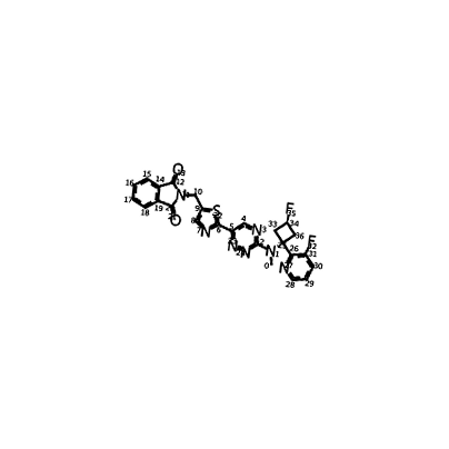 CN(c1ncc(-c2ncc(CN3C(=O)c4ccccc4C3=O)s2)nn1)[C@]1(c2ncccc2F)C[C@@H](F)C1